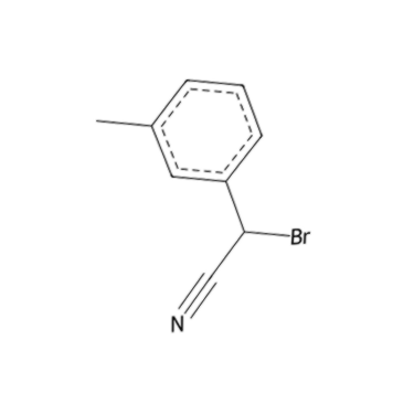 Cc1cccc(C(Br)C#N)c1